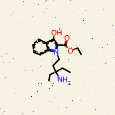 CCOC(=O)c1c(O)c2ccccc2n1CCC(N)(CC)CC